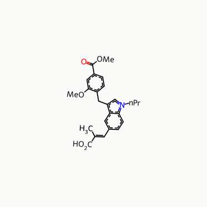 CCCn1cc(Cc2ccc(C(=O)OC)cc2OC)c2cc(C=C(C)C(=O)O)ccc21